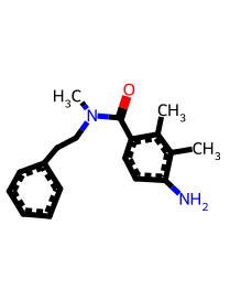 Cc1c(N)ccc(C(=O)N(C)CCc2ccccc2)c1C